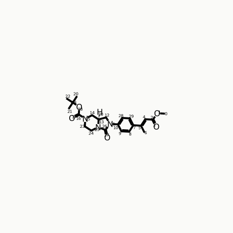 COC(=O)/C=C(\C)c1ccc(N2C[C@@H]3CN(C(=O)OC(C)(C)C)CCN3C2=O)cc1